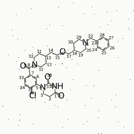 O=C1CCN(c2cc(C(=O)N3CCC(CCOCC4CCN(Cc5ccccc5)CC4)CC3)ccc2Cl)C(=O)N1